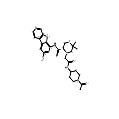 CC(=O)N1CCC(NC(=O)CN2CC(C)(C)OC[C@H]2C(=O)Nc2cc(Cl)cc3c2[nH]c2cnccc23)CC1